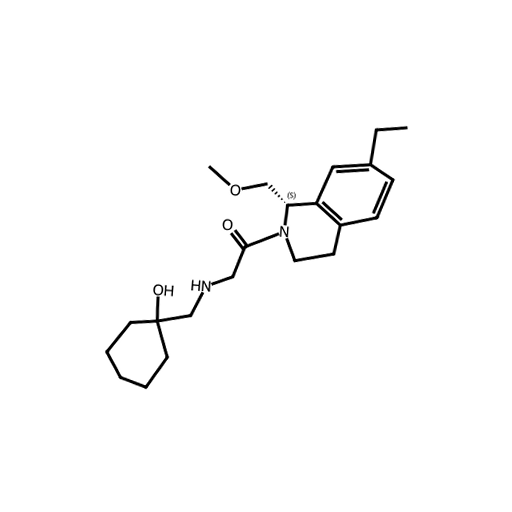 CCc1ccc2c(c1)[C@@H](COC)N(C(=O)CNCC1(O)CCCCC1)CC2